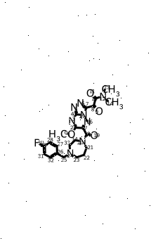 COc1nc2nnc(C(=O)C(=O)N(C)C)n2nc1C(=O)N1CCCN(Cc2ccc(F)cc2)CC1